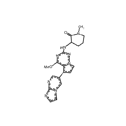 COc1nc(NC2CCCN(C)C2=O)nn2ccc(-c3cnc4nccn4c3)c12